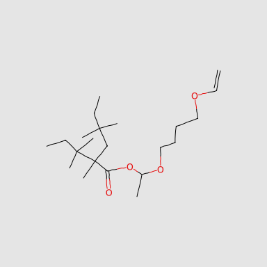 C=COCCCCOC(C)OC(=O)C(C)(CC(C)(C)CC)C(C)(C)CC